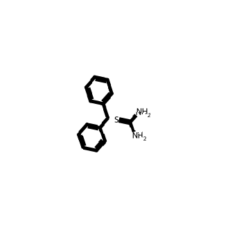 NC(N)=S.c1ccc(Cc2ccccc2)cc1